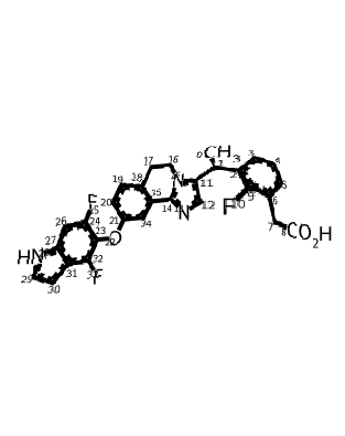 C[C@@H](c1cccc(CC(=O)O)c1F)c1cnc2n1CCc1ccc(Oc3c(F)cc4[nH]ccc4c3F)cc1-2